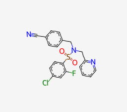 N#Cc1ccc(CN(Cc2ccccn2)S(=O)(=O)c2ccc(Cl)cc2F)cc1